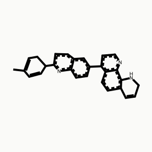 CC1=CCC(c2ccc3cc(-c4ccnc5c6c(ccc45)C=CCN6)ccc3n2)C=C1